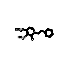 CCOC(=O)c1ccn(CCc2ccccc2)c(=O)c1C(=O)O